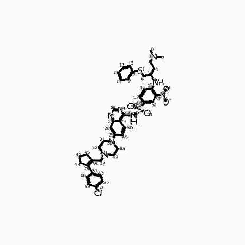 CN(C)CCC(CSc1ccccc1)Nc1ccc(S(=O)(=O)Nc2ncnc3cc(N4CCN(CC5=C(c6ccc(Cl)cc6)CCC5)CC4)ccc23)cc1[N+](=O)[O-]